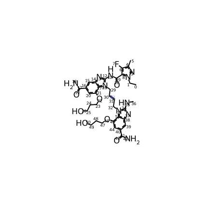 CCn1nc(C)c(F)c1C(=O)Nc1nc2cc(C(N)=O)cc(OCCCO)c2n1C/C=C/Cn1c(NC)nc2cc(C(N)=O)cc(OCCCO)c21